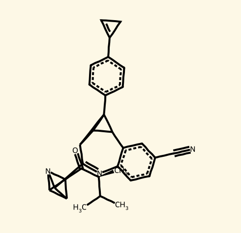 CC(C)[C@H](C)C(=O)C12C3C(C4=Nc5ccc(C#N)cc5C5C6C4C56c4ccc(C5=CC5)cc4)N1C32